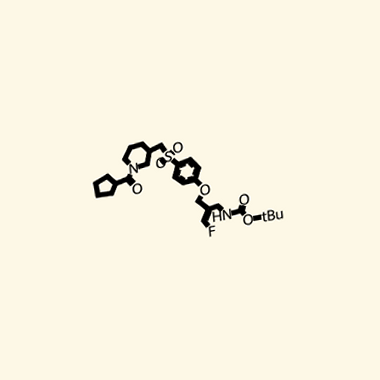 CC(C)(C)OC(=O)NC/C(=C\F)COc1ccc(S(=O)(=O)CC2CCCN(C(=O)C3CCCC3)C2)cc1